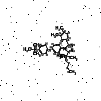 CCCCC(C)(C)c1nnc(-c2ccc(C)c(C)c2)n1-c1ccc(-c2ccc(C(C)(C)C)cc2)cc1C